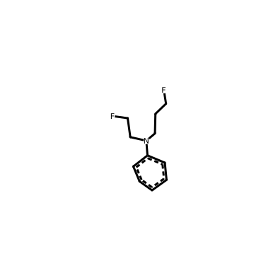 FCCCN(CCF)c1ccccc1